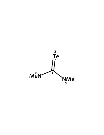 CNC(=[Te])NC